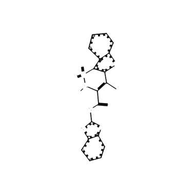 CN1C(C(=O)Nc2nc3ccccc3s2)=C(O)c2sc3ccccc3c2S1(=O)=O